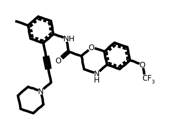 Cc1ccc(NC(=O)C2CNc3cc(OC(F)(F)F)ccc3O2)c(C#CCN2CCCCC2)c1